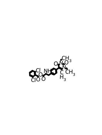 CCn1c(C)c(-c2ccc(C[C@H](N)C(=O)OC(=O)c3c(Cl)cccc3Cl)cc2)c(=O)n(CC)c1=O